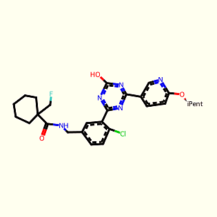 CCC[C@@H](C)Oc1ccc(-c2nc(O)nc(-c3cc(CNC(=O)C4(CF)CCCCC4)ccc3Cl)n2)cn1